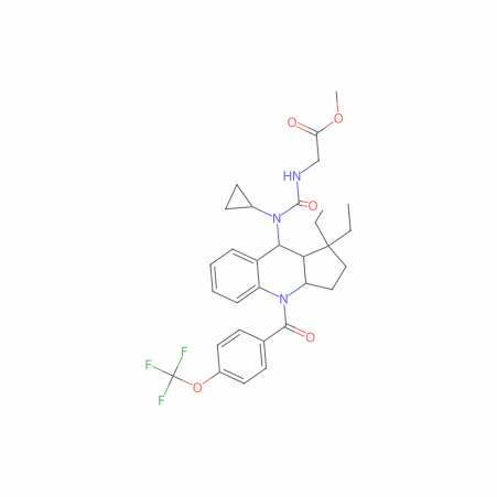 CCC1(CC)CCC2C1C(N(C(=O)NCC(=O)OC)C1CC1)c1ccccc1N2C(=O)c1ccc(OC(F)(F)F)cc1